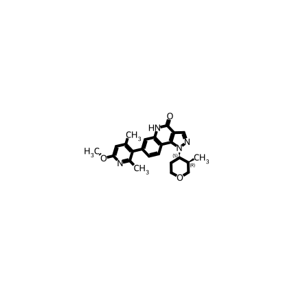 COc1cc(C)c(-c2ccc3c(c2)[nH]c(=O)c2cnn([C@H]4CCOC[C@@H]4C)c23)c(C)n1